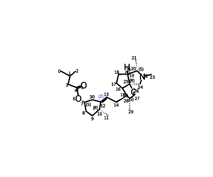 CC(C)CC(=O)O[C@H]1CC[C@@H](C)/C(=C\C[C@H]2C3CC[C@@H]4[C@H](C)N(C)C[C@]34CC[C@@H]2C)C1